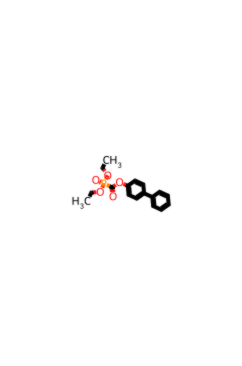 CCOP(=O)(OCC)C(=O)Oc1ccc(-c2ccccc2)cc1